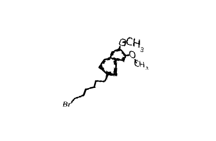 COc1cc2ccc(CCCCCCBr)cc2cc1OC